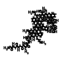 C[C@H](NC(=O)CNC(=O)CNC(=O)CN)C(=O)NCC(=O)N[C@@H](CS)C(=O)N[C@@H](CCCCN)C(=O)N[C@@H](CC(N)=O)C(=O)N[C@@H](Cc1ccccc1)C(=O)N[C@@H](Cc1ccccc1)C(=O)N[C@@H](Cc1c[nH]c2ccccc12)C(=O)N[C@@H](CCCCN)C(=O)N[C@H](C(=O)N[C@@H](Cc1ccccc1)C(=O)N[C@H](C(=O)N[C@@H](CO)C(=O)N[C@@H](CS)C(=O)O)[C@@H](C)O)[C@@H](C)O